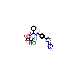 CN1CCN(c2nc(-c3ccc(C(=O)NC(C(=O)N4C[C@@H](Cl)[C@H]5OCC(=O)[C@H]54)C4CCCCC4)cc3)cs2)CC1